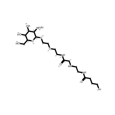 CC(=O)CCCC(=O)NCCNCC(=O)NCCOCCOC1OC(CO)C(O)C(O)C1NC(C)=O